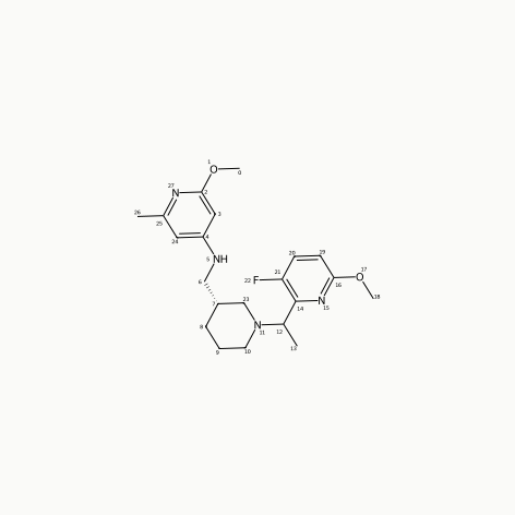 COc1cc(NC[C@H]2CCCN(C(C)c3nc(OC)ccc3F)C2)cc(C)n1